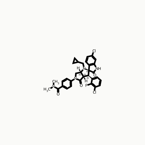 CN(C)C(=O)c1ccc(N2C[C@H]3[C@@H](C2=O)[C@H](c2cccc(Cl)c2F)[C@]2(C(=O)Nc4cc(Cl)ccc42)N3CC2CC2)cc1